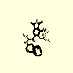 CC(O)Cc1c(C(=O)C(C)Nc2ccc3ccccc3c2)cc2c(c1N)C(=O)NC2=O